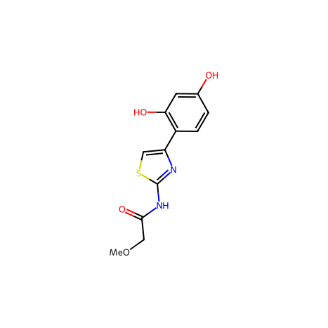 COCC(=O)Nc1nc(-c2ccc(O)cc2O)cs1